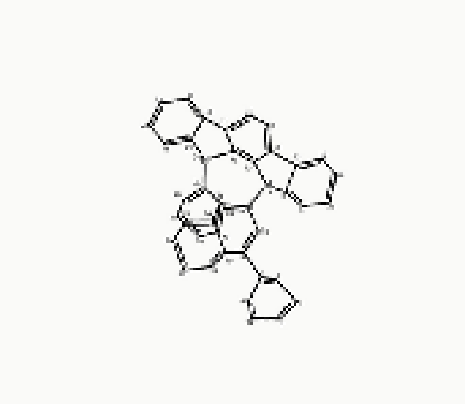 c1ccc(-c2nc(-n3c4ccccc4c4ccc5c6ccccc6n(-c6ccccc6)c5c43)cc3ccccc23)cc1